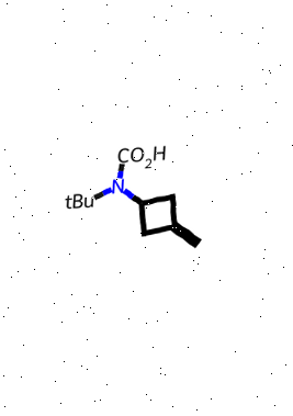 C=C1CC(N(C(=O)O)C(C)(C)C)C1